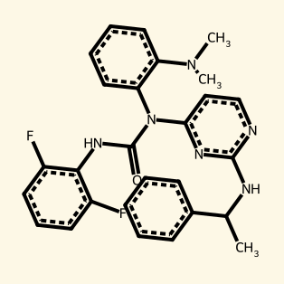 CC(Nc1nccc(N(C(=O)Nc2c(F)cccc2F)c2ccccc2N(C)C)n1)c1ccccc1